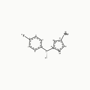 C[C@H](c1ccc(F)cc1)n1cc(C(C)(C)C)cn1